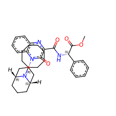 COC(=O)[C@@H](NC(=O)c1nc2ccccc2n([C@H]2C[C@H]3CCC[C@@H](C2)N3C2CCCCCCC2)c1=O)c1ccccc1